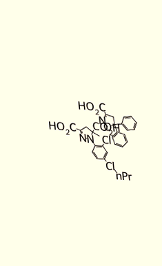 CC1(C(=O)O)CC(C(=O)O)=NN1c1ccc(Cl)cc1Cl.CCCC.O=C(O)C1=NOC(c2ccccc2)(c2ccccc2)C1